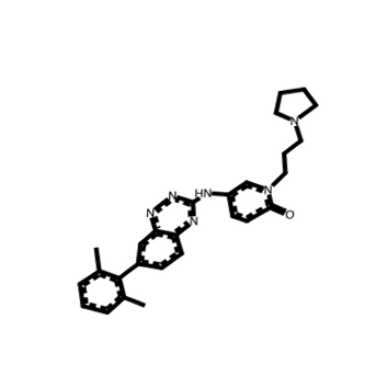 Cc1cccc(C)c1-c1ccc2nc(Nc3ccc(=O)n(CCCN4CCCC4)c3)nnc2c1